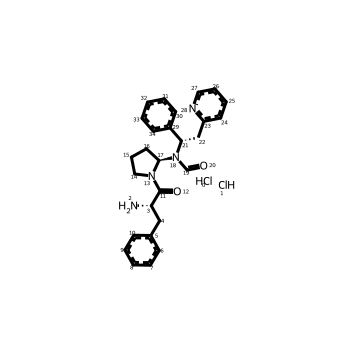 Cl.Cl.N[C@@H](Cc1ccccc1)C(=O)N1CCC[C@H]1N(C=O)[C@@H](Cc1ccccn1)c1ccccc1